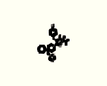 CC(C)S(=O)(=O)N[C@@H](Cc1ccc(Cl)cc1)C(=O)N1CCC(Cn2cncn2)(C2CCCCC2)CC1